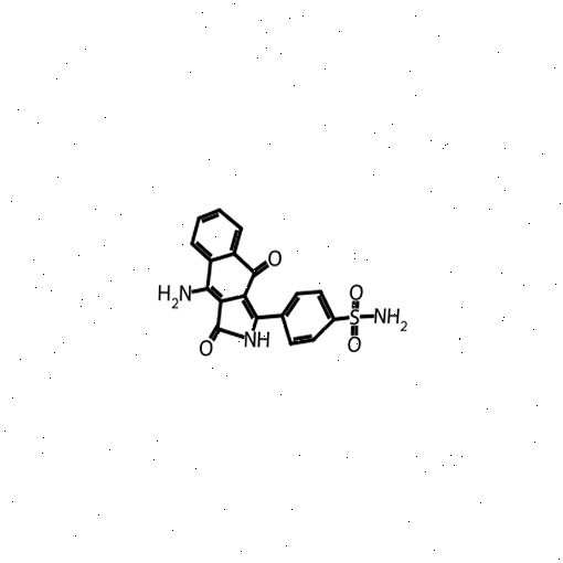 NC1=C2C(=O)NC(c3ccc(S(N)(=O)=O)cc3)=C2C(=O)c2ccccc21